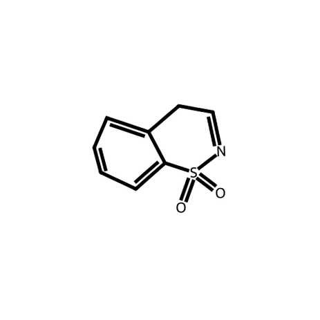 O=S1(=O)N=CCc2ccccc21